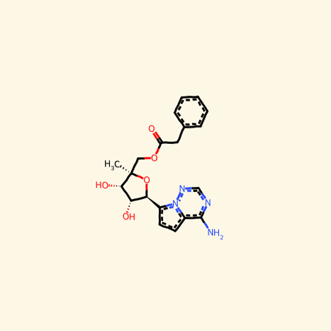 C[C@]1(COC(=O)Cc2ccccc2)O[C@@H](c2ccc3c(N)ncnn23)[C@H](O)[C@@H]1O